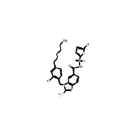 CCCCCCc1ccc(Cn2c(C)nc3ccc(C(=O)NS(=O)(=O)c4ccc(Cl)s4)cc32)c(Cl)c1